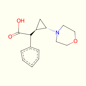 O=C(O)C(c1ccccc1)[C@H]1C[C@@H]1N1CCOCC1